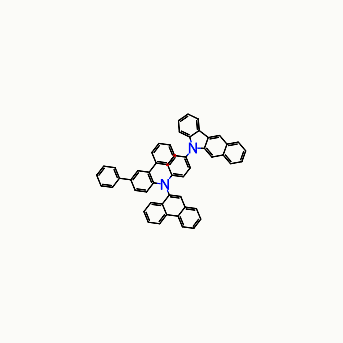 c1ccc(-c2ccc(N(c3ccc(-n4c5ccccc5c5cc6ccccc6cc54)cc3)c3cc4ccccc4c4ccccc34)c(-c3ccccc3)c2)cc1